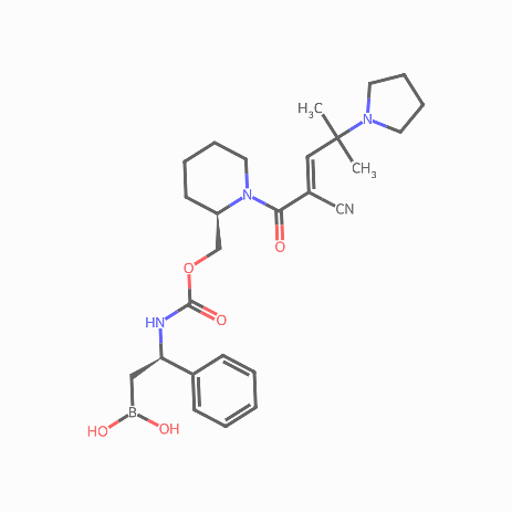 CC(C)(C=C(C#N)C(=O)N1CCCC[C@@H]1COC(=O)N[C@H](CB(O)O)c1ccccc1)N1CCCC1